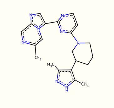 Cc1n[nH]c(C)c1C1CCCN(c2ccnc(-c3cnc4cnc(C(F)(F)F)cn34)n2)C1